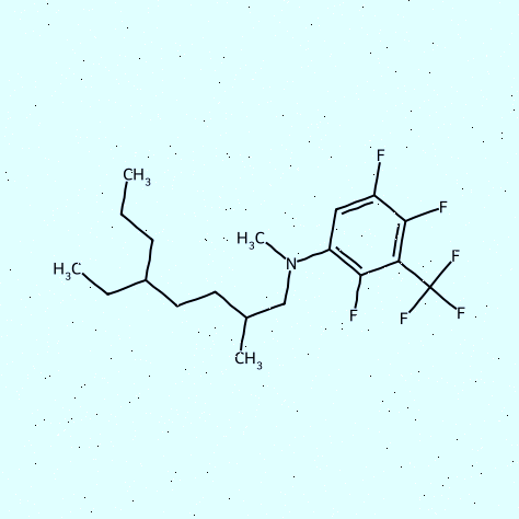 CCCC(CC)CCC(C)CN(C)c1cc(F)c(F)c(C(F)(F)F)c1F